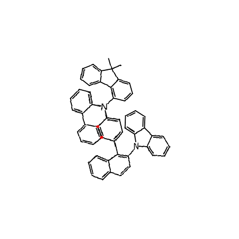 CC1(C)c2ccccc2-c2c(N(c3ccc(-c4c(-n5c6ccccc6c6ccccc65)ccc5ccccc45)cc3)c3ccccc3-c3ccccc3)cccc21